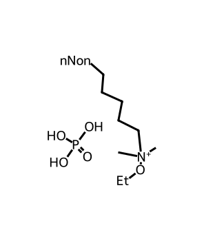 CCCCCCCCCCCCCC[N+](C)(C)OCC.O=P(O)(O)O